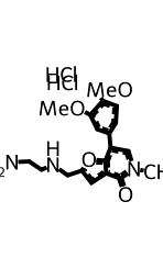 COc1ccc(-c2cn(C)c(=O)c3cc(CNCCN)oc23)cc1OC.Cl.Cl